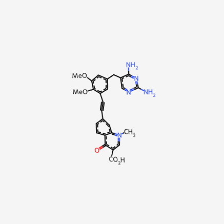 COc1cc(Cc2cnc(N)nc2N)cc(C#Cc2ccc3c(=O)c(C(=O)O)cn(C)c3c2)c1OC